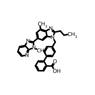 CCCc1nc2c(C)cc(-c3nc4cccnc4n3C)cc2n1Cc1ccc(-c2ccccc2C(=O)O)cc1